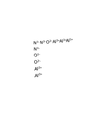 [Al+3].[Al+3].[Al+3].[Al+3].[Al+3].[N-3].[N-3].[N-3].[O-2].[O-2].[O-2]